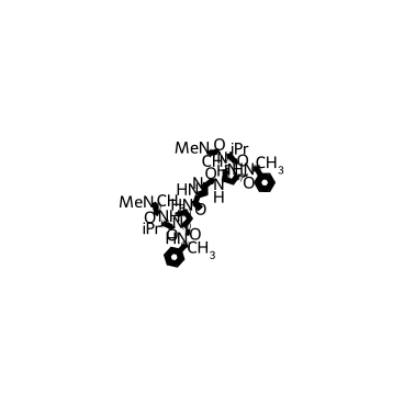 CN[C@@H](C)C(=O)N[C@H](C(=O)N1C[C@@H](NC(=O)c2cc(C(=O)N[C@H]3C[C@@H](C(=O)N[C@H](C)c4ccccc4)N(C(=O)[C@@H](NC(=O)[C@H](C)NC)C(C)C)C3)[nH]n2)C[C@H]1C(=O)N[C@H](C)c1ccccc1)C(C)C